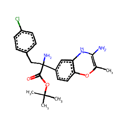 CC1=C(N)Nc2cc(C(N)(Cc3ccc(Cl)cc3)C(=O)OC(C)(C)C)ccc2O1